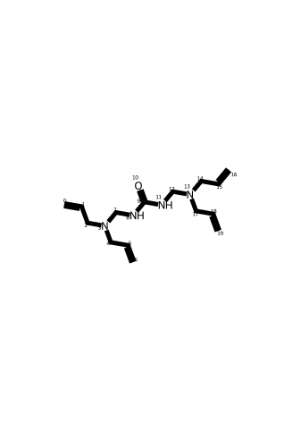 C=CCN(CC=C)CNC(=O)NCN(CC=C)CC=C